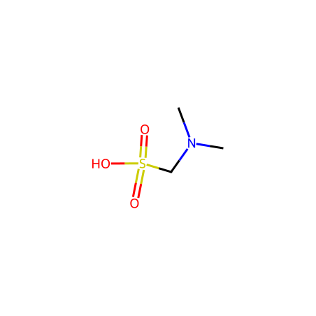 CN(C)CS(=O)(=O)O